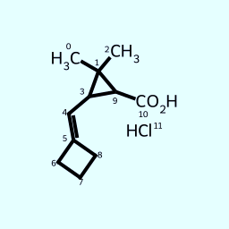 CC1(C)C(C=C2CCC2)C1C(=O)O.Cl